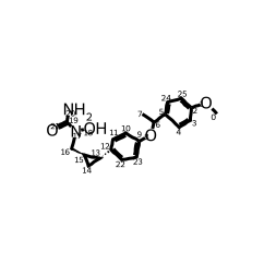 COc1ccc(C(C)Oc2ccc([C@@H]3C[C@H]3CN(O)C(N)=O)cc2)cc1